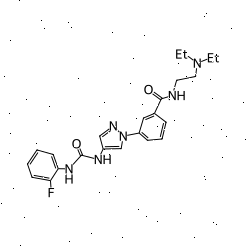 CCN(CC)CCNC(=O)c1cccc(-n2cc(NC(=O)Nc3ccccc3F)cn2)c1